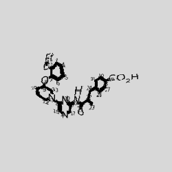 CCOc1ccccc1OC1CCCN(c2cncc(NC(=O)C(C)Cc3ccc(C(=O)O)cc3)n2)C1